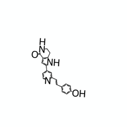 O=C1NCCc2[nH]c(-c3ccnc(C=Cc4ccc(O)cc4)c3)cc21